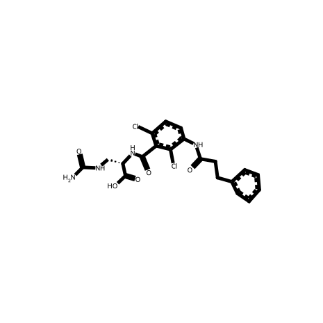 NC(=O)NC[C@H](NC(=O)c1c(Cl)ccc(NC(=O)CCc2ccccc2)c1Cl)C(=O)O